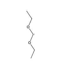 CCO[C]OCC